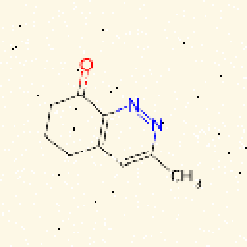 Cc1cc2c(nn1)C(=O)CCC2